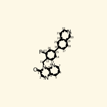 O=c1cnc2cccnc2n1Cc1ccc(-c2ccc3cnccc3c2)cc1F